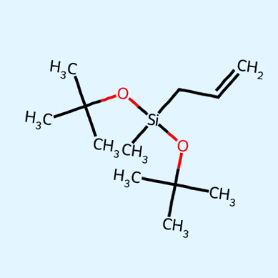 C=CC[Si](C)(OC(C)(C)C)OC(C)(C)C